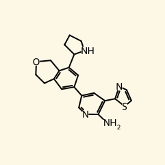 Nc1ncc(-c2cc3c(c(C4CCCN4)c2)COCC3)cc1-c1nccs1